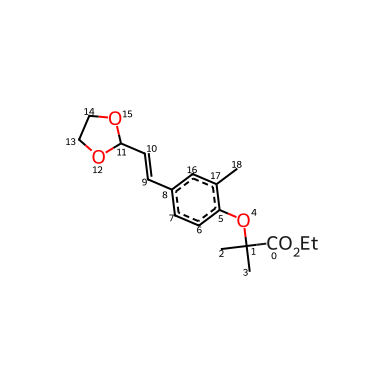 CCOC(=O)C(C)(C)Oc1ccc(/C=C/C2OCCO2)cc1C